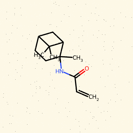 C=CC(=O)NC1(C)CCC2CC1C2(C)C